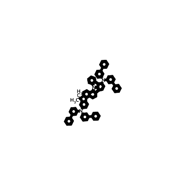 CC1(C)c2cc(N(c3cccc(-c4ccccc4)c3)c3cccc(-c4ccccc4)c3)ccc2-c2c1ccc1c2ccc2c3ccc(N(c4cccc(-c5ccccc5)c4)c4cccc(-c5ccccc5)c4)c4c5ccccc5n(c12)c34